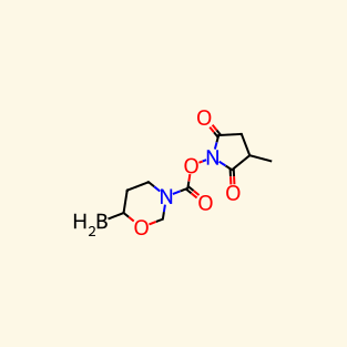 BC1CCN(C(=O)ON2C(=O)CC(C)C2=O)CO1